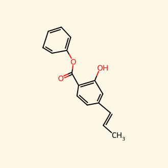 CC=Cc1ccc(C(=O)Oc2ccccc2)c(O)c1